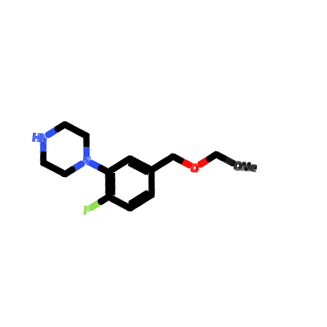 COCOCc1ccc(F)c(N2CCNCC2)c1